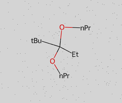 CCCOC(CC)(OCCC)C(C)(C)C